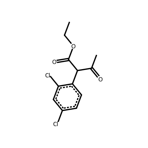 CCOC(=O)C(C(C)=O)c1ccc(Cl)cc1Cl